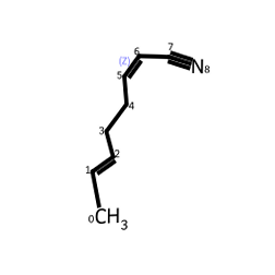 CC=CCC/C=C\C#N